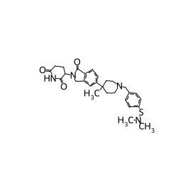 CN(C)Sc1ccc(CN2CCC(C)(c3ccc4c(c3)CN(C3CCC(=O)NC3=O)C4=O)CC2)cc1